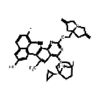 C#Cc1c(F)ccc2cc(O)cc(-c3c(C(F)(F)F)cc4c(N5C[C@@H]6CC[C@](C7CC7)(C5)N6)nc(OCC56CC(=C)CN5CC(=C)C6)nc4c3F)c12